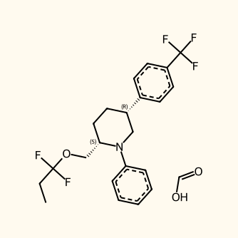 CCC(F)(F)OC[C@@H]1CC[C@H](c2ccc(C(F)(F)F)cc2)CN1c1ccccc1.O=CO